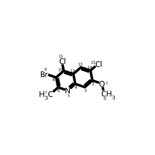 COc1cc2nc(C)c(Br)c(Cl)c2cc1Cl